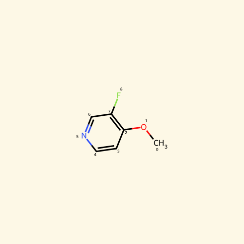 COc1ccncc1F